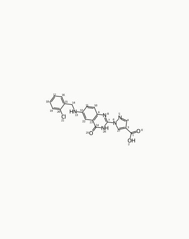 O=C(O)c1cnn(-c2nc3ccc(NCc4ccccc4Cl)cc3c(=O)[nH]2)c1